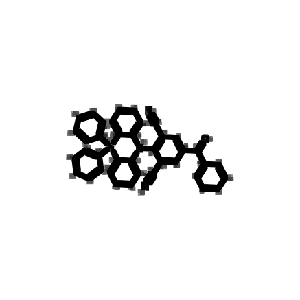 N#Cc1cc(C(=O)c2ccccc2)cc(C#N)c1N1c2ccccc2S(c2ccccc2)(c2ccccc2)c2ccccc21